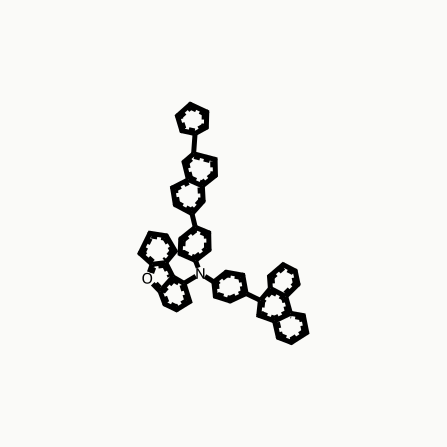 c1ccc(-c2ccc3cc(-c4ccc(N(c5ccc(-c6cc7ccccc7c7ccccc67)cc5)c5cccc6oc7ccccc7c56)cc4)ccc3c2)cc1